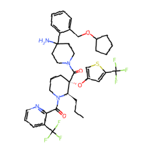 CCC[C@H]1N(C(=O)c2ncccc2C(F)(F)F)CCC[C@@]1(Oc1csc(C(F)(F)F)c1)C(=O)N1CCC(N)(c2ccccc2COC2CCCC2)CC1